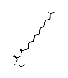 CC(O)CCCCCCCCCC(=O)NC(=N)N(C)CC(=O)O